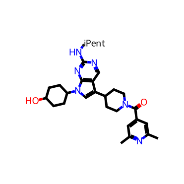 CCCC(C)Nc1ncc2c(C3CCN(C(=O)c4cc(C)nc(C)c4)CC3)cn(C3CCC(O)CC3)c2n1